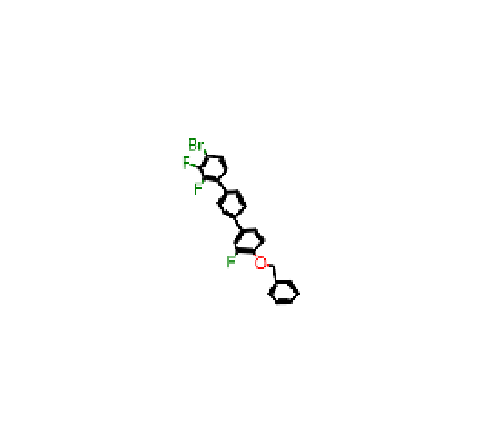 Fc1cc(-c2ccc(-c3ccc(Br)c(F)c3F)cc2)ccc1OCc1ccccc1